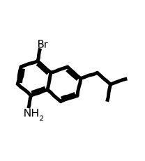 CC(C)Cc1ccc2c(N)ccc(Br)c2c1